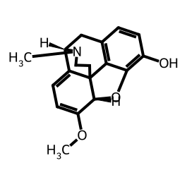 COC1=CC=C2[C@@H]3Cc4ccc(O)c5c4C2(CCN3C)[C@@H]1O5